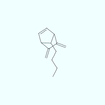 C=C1C(=C)C2C=CC1C2CCCC